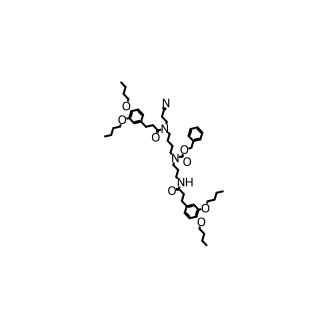 CCCCOc1ccc(CCC(=O)NCCCN(CCCCN(CCC#N)C(=O)CCc2ccc(OCCCC)c(OCCCC)c2)C(=O)OCc2ccccc2)cc1OCCCC